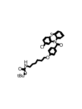 CC(C)(C)OC(=O)NCCCCCCOc1ccc(C(=O)N2c3ccccc3Sc3ccc(Cl)cc32)cc1